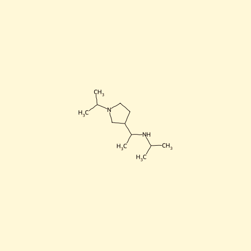 CC(C)NC(C)C1CCN(C(C)C)C1